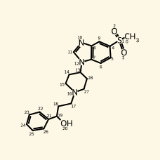 CS(=O)(=O)c1ccc2c(c1)ncn2C1CCN(CCC(O)c2ccccc2)CC1